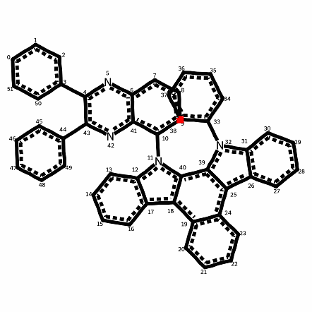 c1ccc(-c2nc3cccc(-n4c5ccccc5c5c6ccccc6c6c7ccccc7n(-c7ccccc7)c6c54)c3nc2-c2ccccc2)cc1